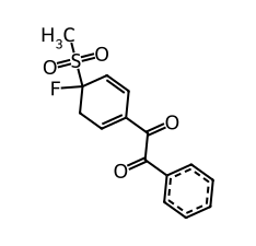 CS(=O)(=O)C1(F)C=CC(C(=O)C(=O)c2ccccc2)=CC1